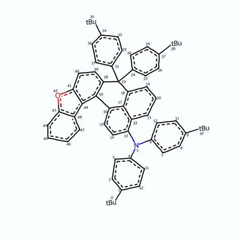 CC(C)(C)c1ccc(N(c2ccc(C(C)(C)C)cc2)c2ccc3c4c(cccc24)C(c2ccc(C(C)(C)C)cc2)(c2ccc(C(C)(C)C)cc2)c2ccc4oc5ccccc5c4c2-3)cc1